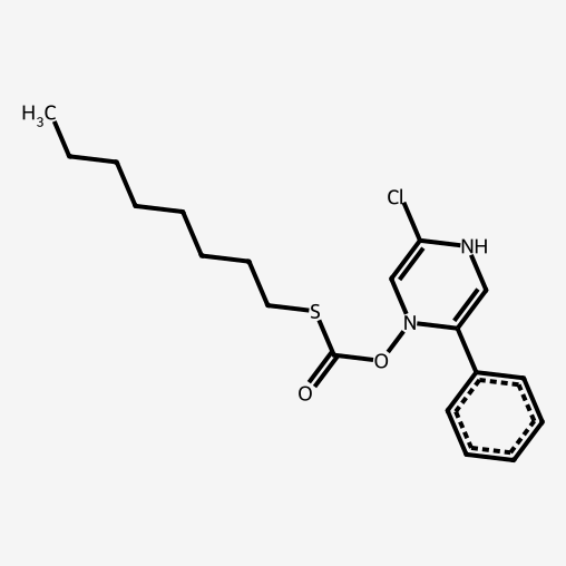 CCCCCCCCSC(=O)ON1C=C(Cl)NC=C1c1ccccc1